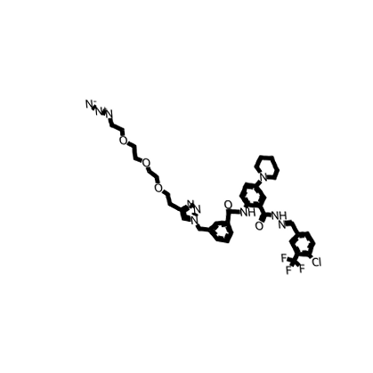 [N-]=[N+]=NCCOCCOCCOCCc1cn(Cc2cccc(C(=O)Nc3ccc(N4CCCCC4)cc3C(=O)N/N=C/c3ccc(Cl)c(C(F)(F)F)c3)c2)nn1